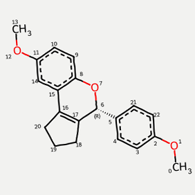 COc1ccc([C@H]2Oc3ccc(OC)cc3C3=C2CCC3)cc1